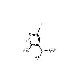 COc1ncc(F)cc1C(N)C(=O)O